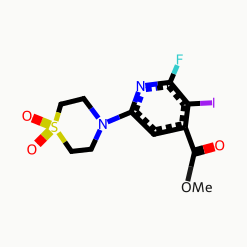 COC(=O)c1cc(N2CCS(=O)(=O)CC2)nc(F)c1I